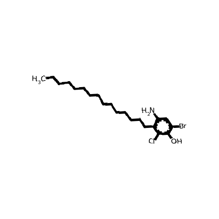 CCCCCCCCCCCCCCCc1c(N)cc(Br)c(O)c1Cl